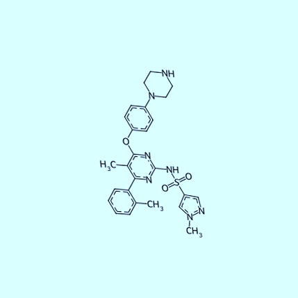 Cc1ccccc1-c1nc(NS(=O)(=O)c2cnn(C)c2)nc(Oc2ccc(N3CCNCC3)cc2)c1C